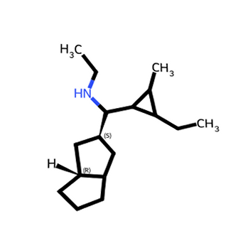 CCNC(C1C(C)C1CC)[C@H]1CC2CCC[C@@H]2C1